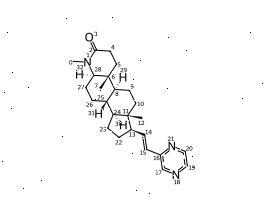 CN1C(=O)CC[C@]2(C)[C@H]3CC[C@]4(C)[C@@H](C=Cc5cnccn5)CC[C@H]4[C@@H]3CC[C@@H]12